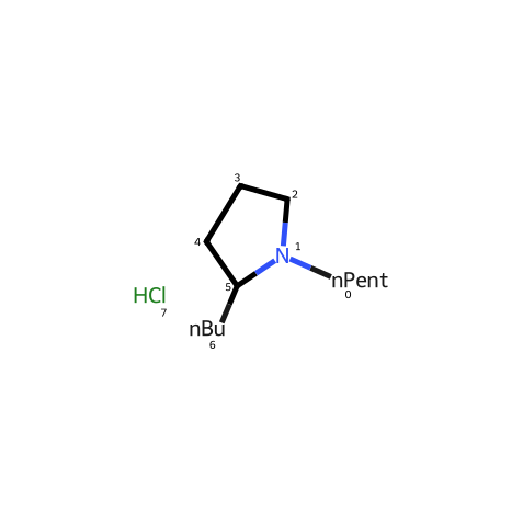 CCCCCN1CCCC1CCCC.Cl